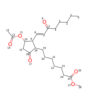 CCCCCC(=O)C=CC1C(OC(C)=O)CC(=O)C1CCCCCCC(=O)OC